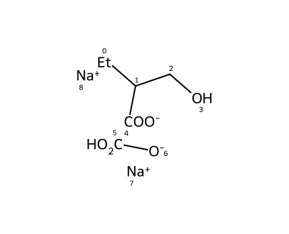 CCC(CO)C(=O)[O-].O=C([O-])O.[Na+].[Na+]